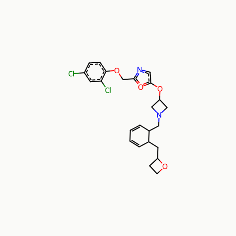 Clc1ccc(OCc2ncc(OC3CN(CC4C=CC=CC4CC4CCO4)C3)o2)c(Cl)c1